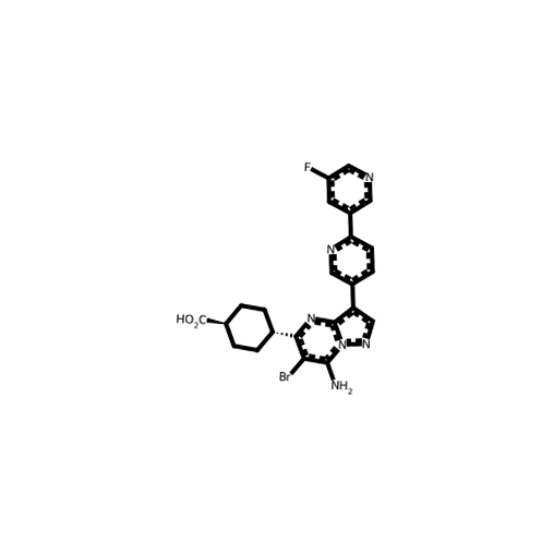 Nc1c(Br)c([C@H]2CC[C@H](C(=O)O)CC2)nc2c(-c3ccc(-c4cncc(F)c4)nc3)cnn12